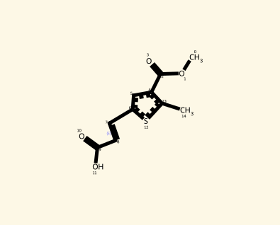 COC(=O)c1cc(/C=C/C(=O)O)sc1C